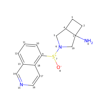 NC12CCC1CN([S+]([O-])c1cccc3cnccc13)C2